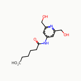 O=C(O)CCCCC(=O)Nc1cc(CO)nc(CO)c1